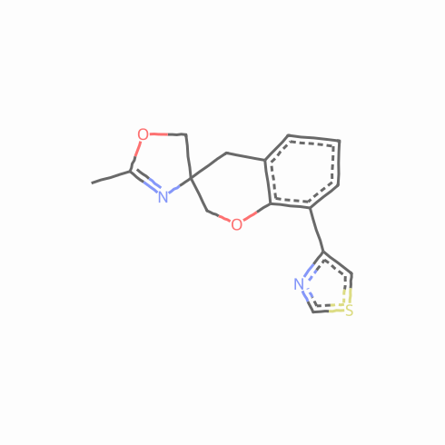 CC1=NC2(CO1)COc1c(cccc1-c1cscn1)C2